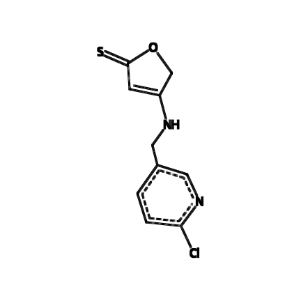 S=C1C=C(NCc2ccc(Cl)nc2)CO1